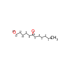 CCCCCCC(=O)CCCCC[O]